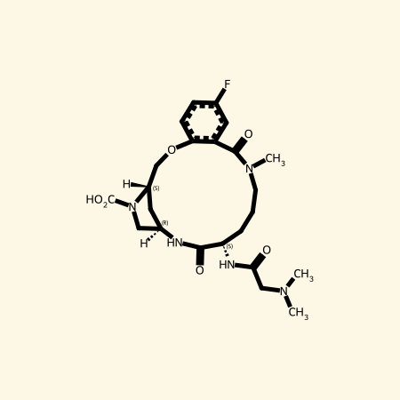 CN(C)CC(=O)N[C@H]1CCCN(C)C(=O)c2cc(F)ccc2OC[C@@H]2C[C@H](CN2C(=O)O)NC1=O